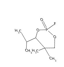 CC(C)C1OP(=O)(F)OCC1(C)C